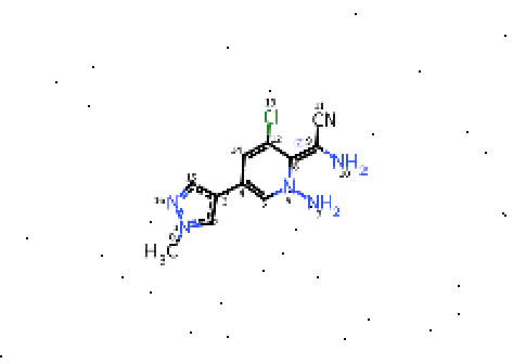 Cn1cc(C2=CN(N)/C(=C(\N)C#N)C(Cl)=C2)cn1